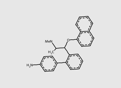 CNC(C)C(Oc1cccc2ccccc12)c1ccccc1-c1ccc(N)cc1